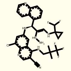 CC(C)(CNc1c(C#N)cnc2c(Cl)cc(N[C@H](/C(=C/NC3(C(F)F)CC3)NN)c3cccc4ncccc34)cc12)C(F)(F)F